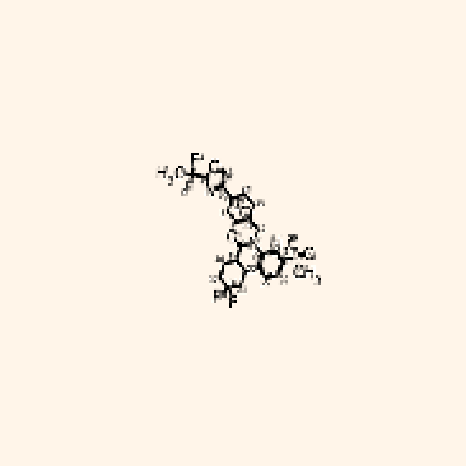 CC(F)(F)c1nc(C23CCC(CN(C(=O)C4CCC(F)(F)CC4)c4cccc(P(C)(C)=O)c4)(CC2)CC3)no1